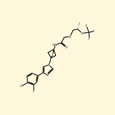 C[C@@H](COCC(=O)NC12CC(n3cnc(-c4ccc(Cl)c(F)c4)c3)(C1)C2)OC(F)(F)F